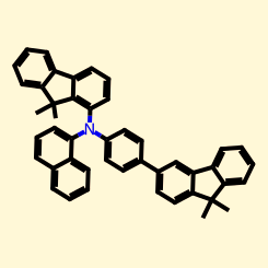 CC1(C)c2ccccc2-c2cc(-c3ccc(N(c4cccc5c4C(C)(C)c4ccccc4-5)c4cccc5ccccc45)cc3)ccc21